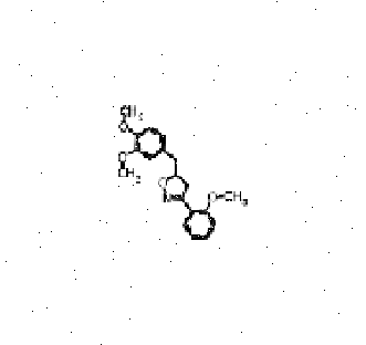 COc1ccc(CC2CC(c3ccccc3OC)=NO2)cc1OC